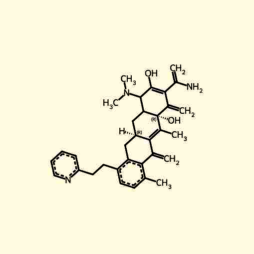 C=C(N)C1=C(O)C(N(C)C)C2C[C@@H]3Cc4c(CCc5ccccn5)ccc(C)c4C(=C)C3=C(C)[C@]2(O)C1=C